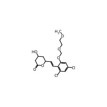 COCCOCOc1cc(Cl)cc(Cl)c1C=CC1CC(O)CC(=O)O1